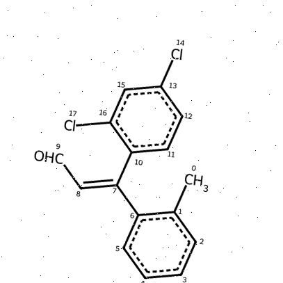 Cc1ccccc1C(=CC=O)c1ccc(Cl)cc1Cl